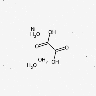 O.O.O.O=C(O)C(=O)O.[Ni]